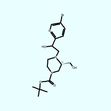 CC(C)(C)OC(=O)N1CCN(CC(O)c2ccc(Br)cn2)[C@H](CO)C1